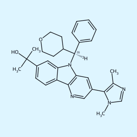 [2H][C@@](c1ccccc1)(C1CCOCC1)n1c2cc(C(C)(C)O)ccc2c2ncc(-c3c(C)ncn3C)cc21